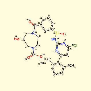 Cc1cccc(C)c1-c1cc(Cl)nc(N[S+]([O-])c2cccc(C(=O)N3CCN(C(=O)OC(C)(C)C)CC(O)C3)c2)n1